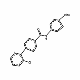 CCCCc1ccc(NC(=O)c2ccc(-c3ncccc3Cl)cc2)cc1